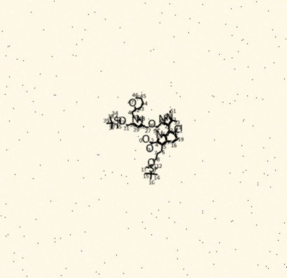 COC(=O)c1c(CCCO[Si](C)(C)C(C)(C)C)c2ccc(Cl)c(-c3c(COCc4cc(CO[Si](C)(C)C(C)(C)C)n(CC5CCCCO5)n4)nn(C)c3C)c2n1C